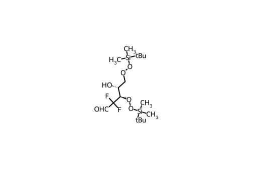 CC(C)(C)[Si](C)(C)OOC[C@@H](O)[C@@H](OO[Si](C)(C)C(C)(C)C)C(F)(F)C=O